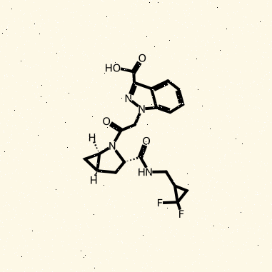 O=C(O)c1nn(CC(=O)N2[C@@H]3C[C@@H]3C[C@H]2C(=O)NCC2CC2(F)F)c2ccccc12